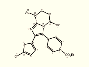 CCOC(=O)N1C=CC(c2c(-c3ccc(Cl)s3)nc3n2N(C(C)=O)CCN3C(C)=O)C=C1